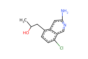 CC(O)Cc1ccc(Cl)c2cnc(N)cc12